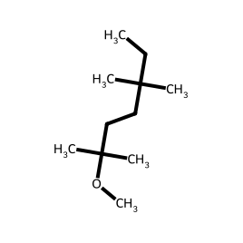 CCC(C)(C)CCC(C)(C)OC